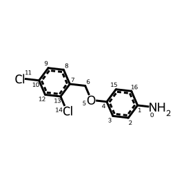 Nc1ccc(OCc2ccc(Cl)cc2Cl)cc1